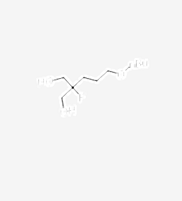 CCCCOCCCC(F)(CO)CO